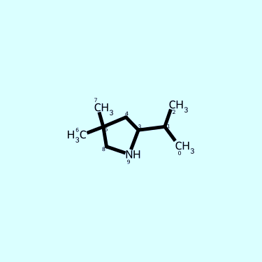 CC(C)C1CC(C)(C)CN1